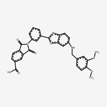 COc1ccc(CNc2ccc3nc(-c4cccc(N5C(=O)c6ccc(C(=O)O)cc6C5=O)c4)oc3c2)cc1OC